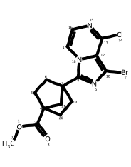 COC(=O)C12CCC(c3nc(Br)c4c(Cl)nccn34)(CC1)C2